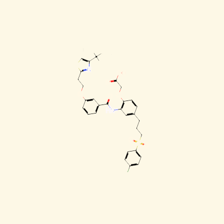 CC(C)(C)c1csc(CCOc2cccc(C(=O)Nc3cc(CCCS(=O)(=O)c4ccc(Cl)cc4)ccc3OCC(=O)O)c2)n1